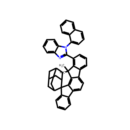 CC1(C)c2c(cccc2-c2nc3ccccc3n2-c2cccc3ccccc23)-c2ccc3c(c21)C1(c2ccccc2-3)C2CC3CC(C2)CC1C3